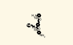 Nc1ccc(NC(=O)C(NCCCN2CCOCC2)c2ccc(/C=C/C(=O)Nc3ccccc3N)cc2)cc1